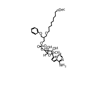 CCCCCCCCCCCCCCCCCCOCC(COc1ccccc1)COP(=O)(O)OC1[C@H]2O[C@@](C)(c3ccc4c(N)ncnn34)[C@H](O)[C@@]12O